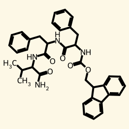 CC(C)C(NC(=O)C(Cc1ccccc1)NC(=O)C(Cc1ccccc1)NC(=O)OCC1c2ccccc2-c2ccccc21)C(N)=O